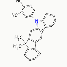 CC1(C)c2ccccc2-c2cc3c4ccccc4n(-c4ccc(C#N)c(C#N)c4)c3cc21